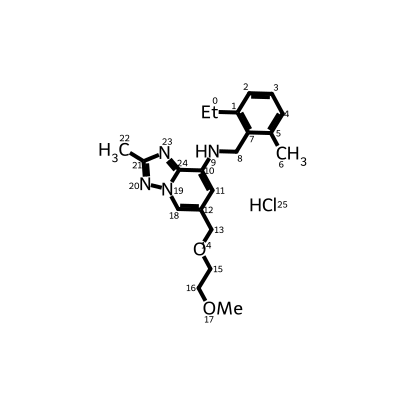 CCc1cccc(C)c1CNc1cc(COCCOC)cn2nc(C)nc12.Cl